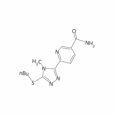 CCCCSc1nnc(-c2ccc(C(N)=O)cn2)n1C